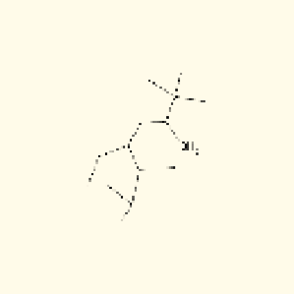 BC(CC(CC)C(C)C(C)(C)C)C(C)(C)C